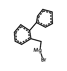 [Br][Mg][CH2]c1ccccc1-c1ccccc1